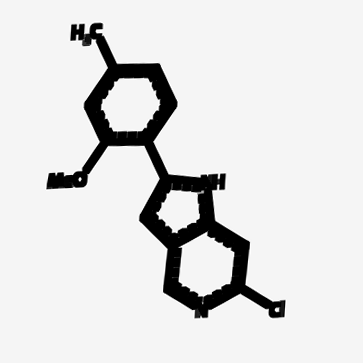 COc1cc(C)ccc1-c1cc2cnc(Cl)cc2[nH]1